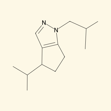 CC(C)Cn1ncc2c1CCC2C(C)C